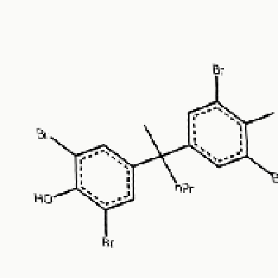 CCCC(C)(c1cc(Br)c(C)c(Br)c1)c1cc(Br)c(O)c(Br)c1